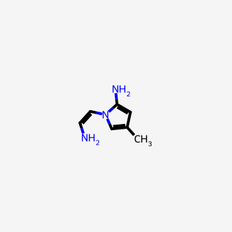 Cc1cc(N)n(/C=C\N)c1